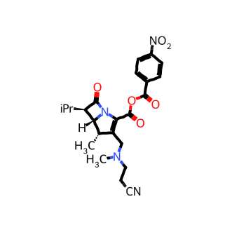 CC(C)[C@H]1C(=O)N2C(C(=O)OC(=O)c3ccc([N+](=O)[O-])cc3)=C(CN(C)CCC#N)[C@H](C)[C@H]12